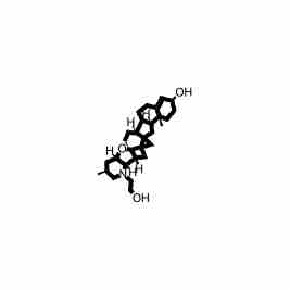 C[C@H]1C[C@H]2O[C@@]34CC[C@H]5C6CCC7=C[C@@H](O)CC[C@]7(C)[C@H]6CC56CC63C[C@@H]4[C@@H]2N(CCO)C1